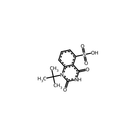 CC(C)(C)n1c(=O)[nH]c(=O)c2c(S(=O)(=O)O)cccc21